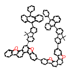 CC1(C)c2ccc(-c3c4ccccc4c(-c4ccccc4)c4ccccc34)cc2-c2ccc(-c3ccc4c(c3)oc3ccc5ccc6c7ccc(-c8ccc9c(c8)oc8c(-c%10ccc%11c(c%10)C(C)(C)c%10cc(-c%12c%13ccccc%13c(-c%13ccccc%13)c%13ccccc%12%13)ccc%10-%11)cc%10c(ccc%11c%12ccccc%12oc%11%10)c89)cc7oc6c5c34)cc21